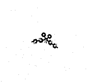 Cc1ccc(-c2ccc(C3=C(c4ccccc4)C(c4ccccc4)=C(c4ccc(-c5ccc(C)nc5)nc4)[Si]3(C)C)cn2)cn1